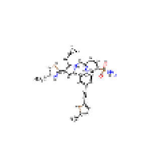 Cc1ccc(C#Cc2cccc(-c3cc(-c4nc(C(=O)O)cs4)c(CC4CC4)n3Cc3ccc(S(N)(=O)=O)cn3)c2)s1